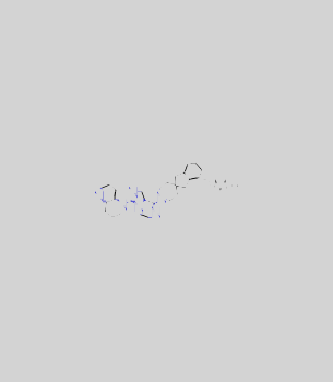 COc1cccc2c1CC1(CCN(c3nccn4c(N5CCCc6ncccc65)ncc34)CC1)C2